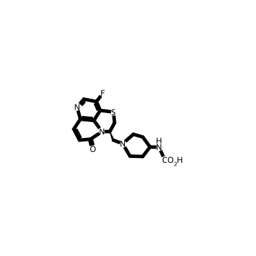 O=C(O)NC1CCN(C[C@@H]2CSc3c(F)cnc4ccc(=O)n2c34)CC1